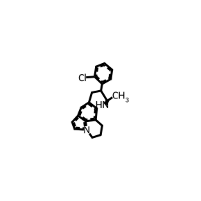 CC(=N)C(Cc1cc2c3c(ccn3CCC2)c1)c1ccccc1Cl